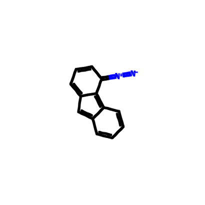 [N-]=[N+]=C1C=CC=C2C=c3ccccc3=C21